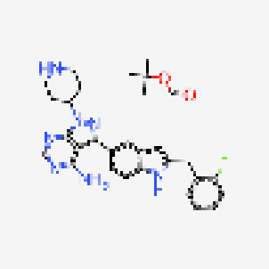 CC(C)(C)OC=O.Nc1ncnc2c1c(-c1ccc3[nH]c(Cc4ccccc4F)cc3c1)nn2C1CCNCC1